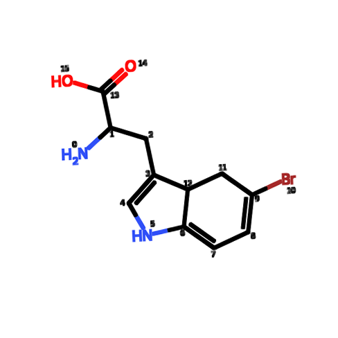 NC(CC1=CNC2=CC=C(Br)CC12)C(=O)O